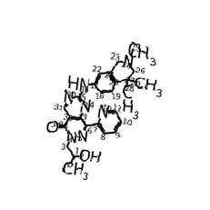 CC(O)Cn1nc(-c2ccccn2)c2nc(Nc3ccc4c(c3)CN(C)CC4(C)C)ncc2c1=O